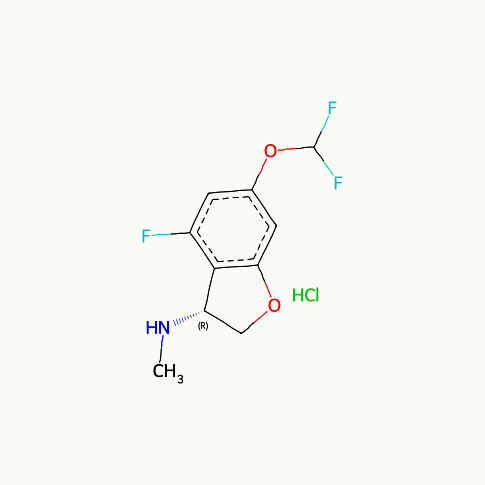 CN[C@H]1COc2cc(OC(F)F)cc(F)c21.Cl